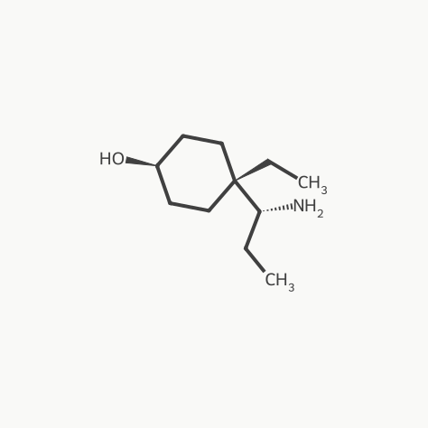 CC[C@@H](N)[C@]1(CC)CC[C@@H](O)CC1